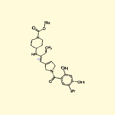 C=C/C(=C\C1=CCN(C(=O)c2cc(C(C)C)c(O)cc2O)C1)NC1CCN(C(=O)OC(C)(C)C)CC1